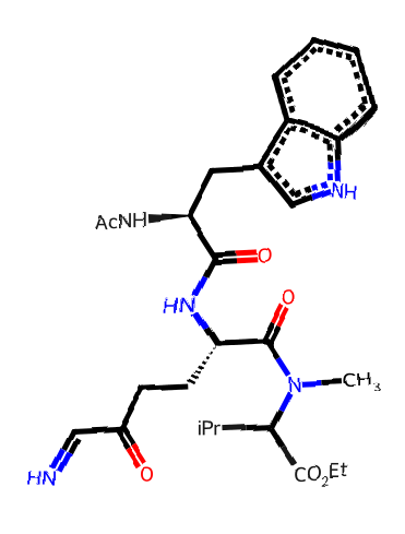 CCOC(=O)C(C(C)C)N(C)C(=O)[C@H](CCC(=O)C=N)NC(=O)[C@H](Cc1c[nH]c2ccccc12)NC(C)=O